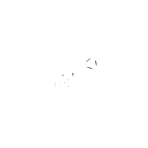 Cl.NCC1(OC(=O)CCc2ccccc2)CCCCC1